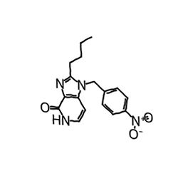 CCCCc1nc2c(=O)[nH]ccc2n1Cc1ccc([N+](=O)[O-])cc1